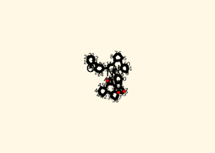 c1ccc(-c2ccccc2-c2cc(-c3ccc4oc5ccccc5c4c3)nc(-c3ccc4c(c3)C3(c5ccccc5-c5ccccc5-c5ccccc53)c3ccccc3-4)n2)cc1